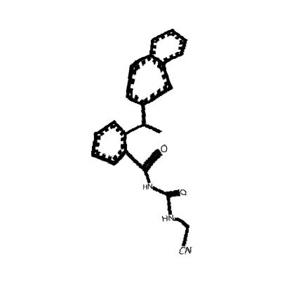 CC(c1ccc2ccccc2c1)c1ccccc1C(=O)NC(=O)NCC#N